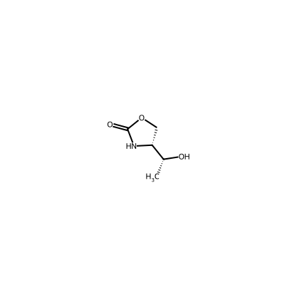 C[C@@H](O)[C@H]1COC(=O)N1